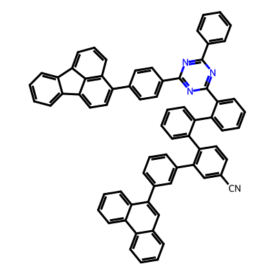 N#Cc1ccc(-c2ccccc2-c2ccccc2-c2nc(-c3ccccc3)nc(-c3ccc(-c4ccc5c6c(cccc46)-c4ccccc4-5)cc3)n2)c(-c2cccc(-c3cc4ccccc4c4ccccc34)c2)c1